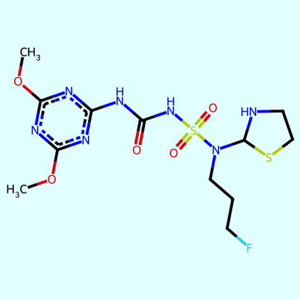 COc1nc(NC(=O)NS(=O)(=O)N(CCCF)C2NCCS2)nc(OC)n1